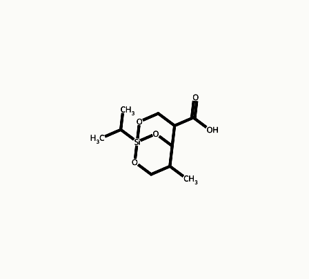 CC1CO[Si]2(C(C)C)OCC(C(=O)O)C1O2